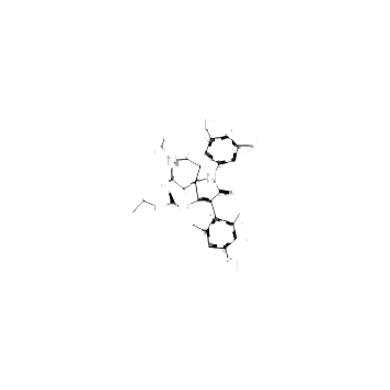 CCOC(=O)OC1=C(c2c(C)cc(Cl)cc2C)C(=O)N(c2cc(Cl)cc(Cl)c2)C12CCN(OC)CC2